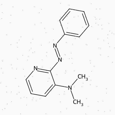 CN(C)c1cccnc1N=Nc1ccccc1